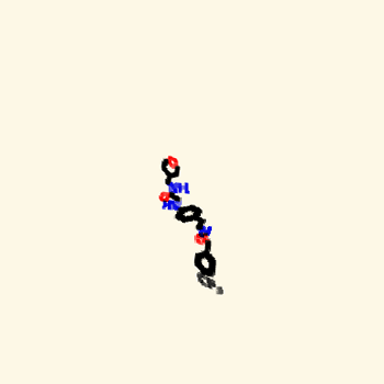 O=C(CNc1ccc(CC=NOCc2ccc(C(F)(F)F)cc2)cc1)NCC1CCOCC1